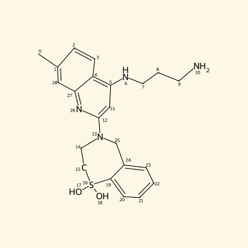 Cc1ccc2c(NCCCN)cc(N3CCS(O)(O)c4ccccc4C3)nc2c1